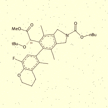 CCCCOC(=O)N1Cc2c(C)c(-c3cc(F)c4c(c3C)CCCO4)c([C@H](OC(C)(C)C)C(=O)OC)c(C)c2C1